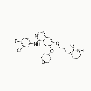 O=C1NCCCN1CCCOc1cc2ncnc(Nc3ccc(F)c(Cl)c3)c2cc1OC1CCOCC1